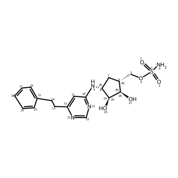 NS(=O)(=O)OC[C@H]1C[C@@H](Nc2cc(CCc3ccccc3)ncn2)[C@H](O)[C@@H]1O